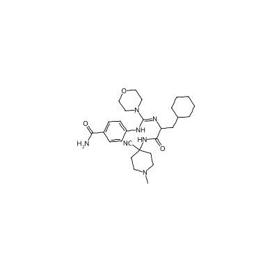 CN1CCC(C#N)(NC(=O)C(CC2CCCCC2)/N=C(\Nc2ccc(C(N)=O)cc2)N2CCOCC2)CC1